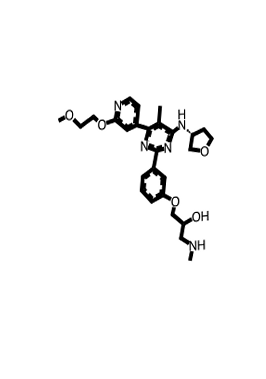 CNCC(O)COc1cccc(-c2nc(N[C@@H]3CCOC3)c(C)c(-c3ccnc(OCCOC)c3)n2)c1